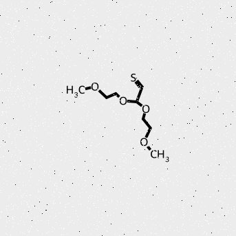 COCCOC(C=S)OCCOC